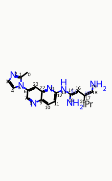 Cc1nccn1-c1cnc2ccc(N/C(N)=C/C(=C\N)C(C)C)nc2c1